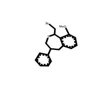 COc1cccc2c1C(CBr)SCC(c1ccccc1)C2